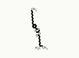 CCCCCCCCCCc1ccc(-c2ncc(OC(=O)CCCCCCC(C)CC)cn2)cc1